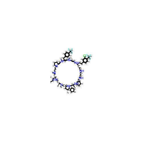 CC[C@H](C)[C@H]1CN(C)CCN2CCCC2=CN(C)C(Cc2ccc(C(F)(F)F)cc2)=CN(C)C=CN[C@@H](CCc2ccc(C(F)(F)F)c(Cl)c2)CCNCCNCC2(CCCC2)NC(C)[C@H](C2CCCC2)N2C[C@H](C)CC2CN(C)[C@@H](C)CN1